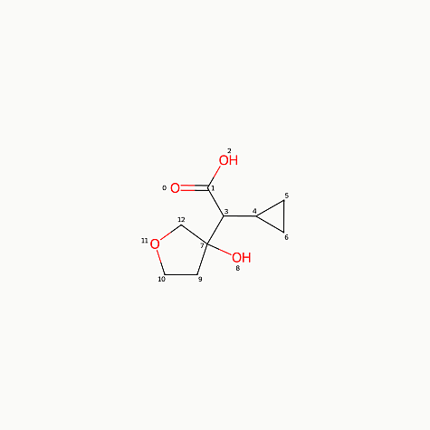 O=C(O)C(C1CC1)C1(O)CCOC1